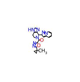 CC1(c2nnc(C(=O)N3CCc4[nH]cnc4C3c3cc4ccccn4n3)o2)CC1